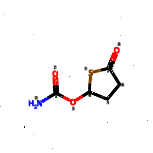 NC(=O)OC1CCC(=O)S1